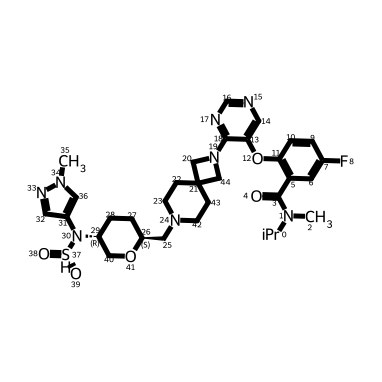 CC(C)N(C)C(=O)c1cc(F)ccc1Oc1cncnc1N1CC2(CCN(C[C@@H]3CC[C@@H](N(c4cnn(C)c4)[SH](=O)=O)CO3)CC2)C1